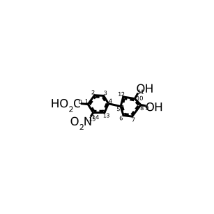 O=C(O)c1ccc(-c2ccc(O)c(O)c2)cc1[N+](=O)[O-]